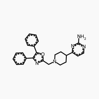 Nc1nccc(C2CCN(Cc3nc(-c4ccccc4)c(-c4ccccc4)o3)CC2)n1